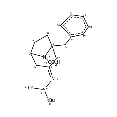 CC(C)(C)[S+]([O-])N=C1CC2CCC(Cc3ccccc3)(C1)N2C(=O)O